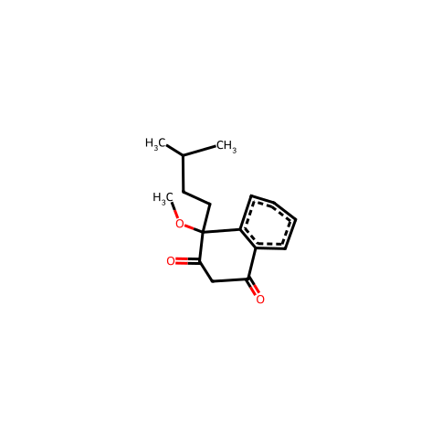 COC1(CCC(C)C)C(=O)CC(=O)c2ccccc21